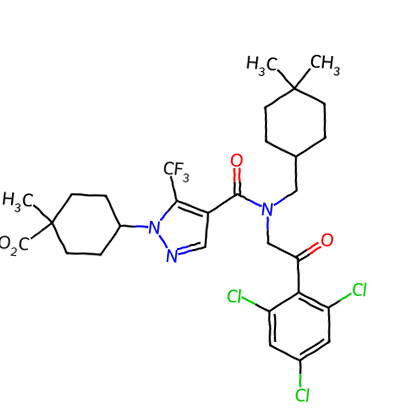 CC1(C)CCC(CN(CC(=O)c2c(Cl)cc(Cl)cc2Cl)C(=O)c2cnn(C3CCC(C)(C(=O)O)CC3)c2C(F)(F)F)CC1